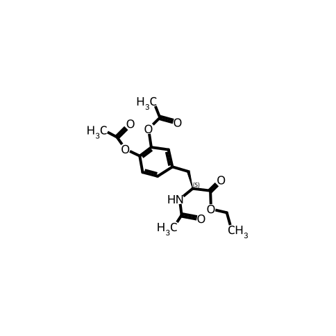 CCOC(=O)[C@H](Cc1ccc(OC(C)=O)c(OC(C)=O)c1)NC(C)=O